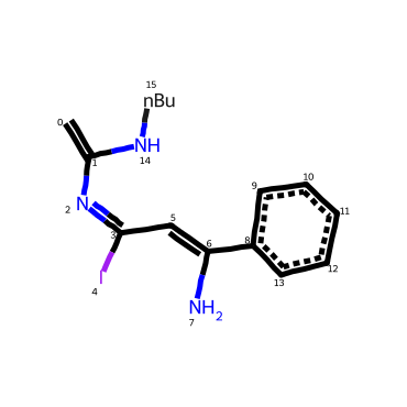 C=C(/N=C(I)\C=C(/N)c1ccccc1)NCCCC